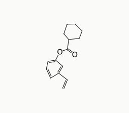 C=Cc1cccc(OC(=O)C2CCCCC2)c1